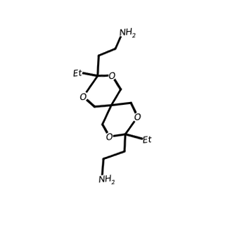 CCC1(CCN)OCC2(CO1)COC(CC)(CCN)OC2